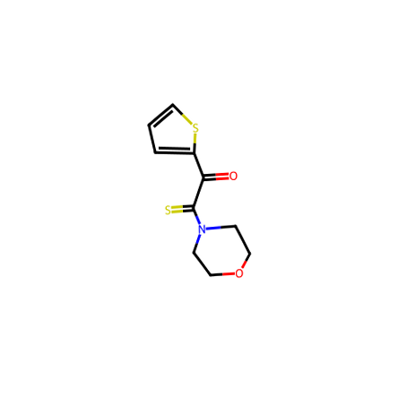 O=C(C(=S)N1CCOCC1)c1cccs1